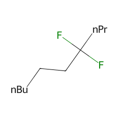 CCCCCCC(F)(F)CCC